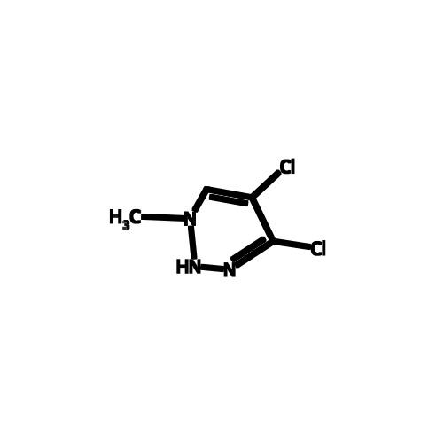 CN1C=C(Cl)C(Cl)=NN1